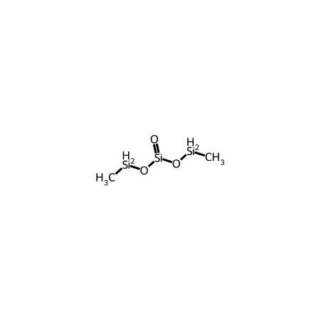 C[SiH2]O[Si](=O)O[SiH2]C